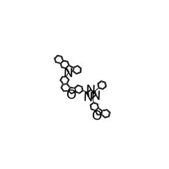 c1ccc(-c2nc(-c3ccc4c(c3)oc3ccc5ccc(-n6c7ccccc7c7cc8ccccc8cc76)cc5c34)nc(-c3ccc4oc5ccccc5c4c3)n2)cc1